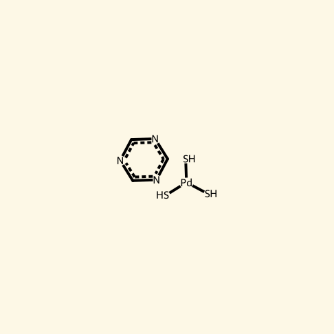 [SH][Pd]([SH])[SH].c1ncncn1